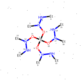 CCNN(CC)[O][Ti]([O]N(CC)NCC)([O]N(CC)NCC)[O]N(CC)NCC